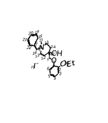 CCOc1ccccc1OCC1(O)CC[N+](C)(Cc2ccccc2)CC1.[I-]